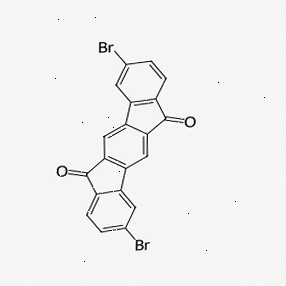 O=c1c2ccc(Br)cc2c2cc3c(=O)c4ccc(Br)cc4c3cc12